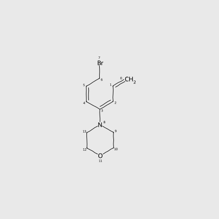 C=C/C=C(\C=C/CBr)N1CCOCC1